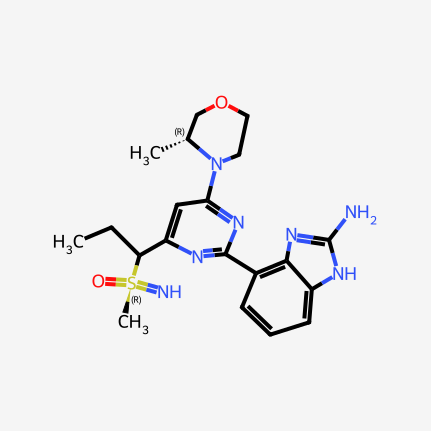 CCC(c1cc(N2CCOC[C@H]2C)nc(-c2cccc3[nH]c(N)nc23)n1)[S@](C)(=N)=O